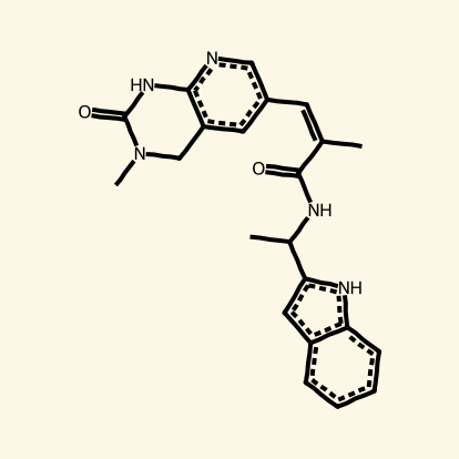 CC(=Cc1cnc2c(c1)CN(C)C(=O)N2)C(=O)NC(C)c1cc2ccccc2[nH]1